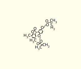 C=C(C)C(=O)OCCOc1ccc(OCCOC(=O)C(=C)C)c(C2C(=O)Oc3c(C)cc(C)cc32)c1